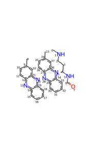 CNCCCNC=O.Cc1ccc2nc3ccccc3nc2c1.Cc1ccc2nc3ccccc3nc2c1